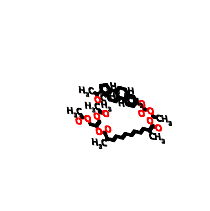 CC(=O)OCC(COC(C)=O)OC(=O)C(C)CCCCCCCCC(C)C(=O)OC(C)OC(=O)O[C@@H]1CC[C@@]2(C)[C@@H](CC[C@@H]3[C@@H]2CC[C@]2(C)[C@@H](C(C)=O)CC[C@@H]32)C1